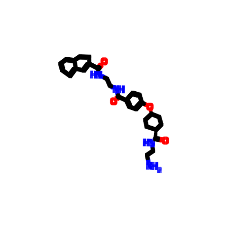 NCCNC(=O)[C@H]1CC[C@@H](Oc2ccc(C(=O)NCCNC(=O)c3ccc4ccccc4c3)cc2)CC1